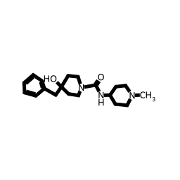 CN1CCC(NC(=O)N2CCC(O)(Cc3ccccc3)CC2)CC1